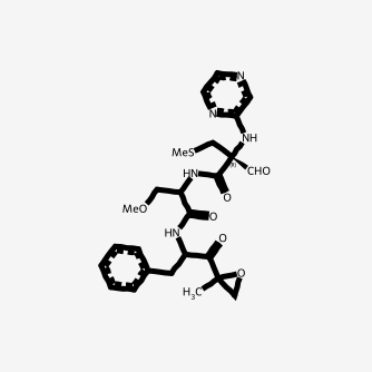 COCC(NC(=O)[C@](C=O)(CSC)Nc1cnccn1)C(=O)NC(Cc1ccccc1)C(=O)C1(C)CO1